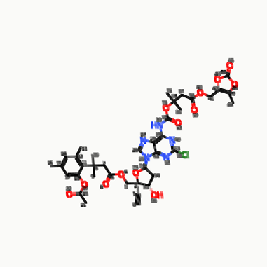 C#C[C@]1(COC(=O)CC(C)(C)c2c(C)cc(C)cc2OC(C)=O)O[C@@H](n2cnc3c(NC(=O)OC(C)(C)CC(=O)OCc4oc(=O)oc4C)nc(Cl)nc32)C[C@@H]1O